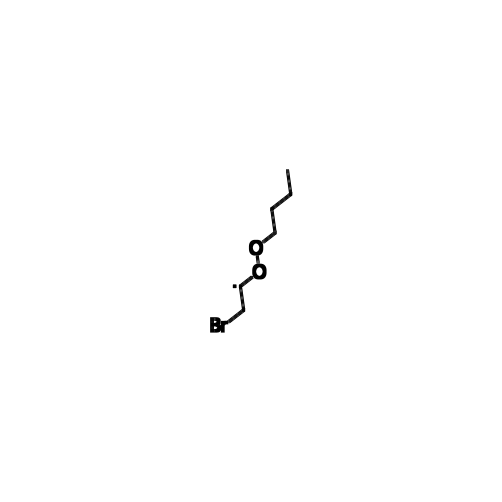 CCCCOO[CH]CBr